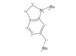 CC(C)(C)Cc1ccc2c(c1)N(C(C)(C)C)CC2